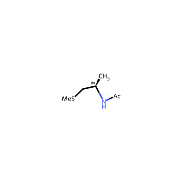 CSC[C@@H](C)NC(C)=O